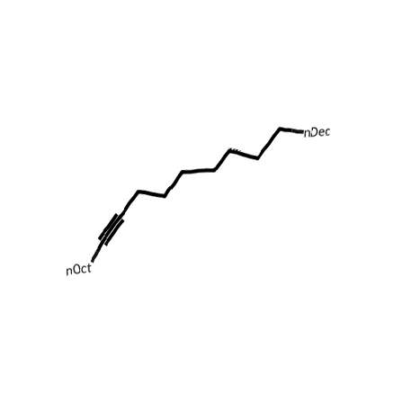 [CH2]CCCCCCCC#CCCCCCCCCCCCCCCCC[CH2]